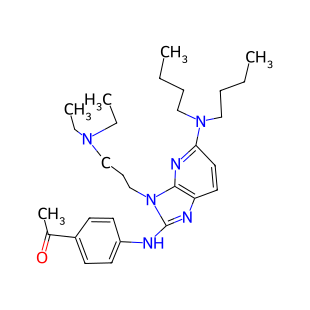 CCCCN(CCCC)c1ccc2nc(Nc3ccc(C(C)=O)cc3)n(CCCN(CC)CC)c2n1